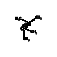 CCCCCCCc1cccc(OC(=O)Oc2cccc(CCCCCCC)c2CCCCCCC)c1CCCCCCC